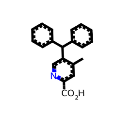 Cc1cc(C(=O)O)ncc1C(c1ccccc1)c1ccccc1